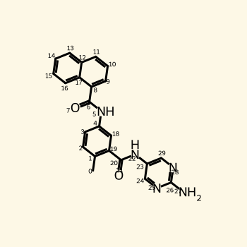 Cc1ccc(NC(=O)c2cccc3ccccc23)cc1C(=O)Nc1cnc(N)nc1